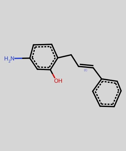 Nc1ccc(C/C=C/c2ccccc2)c(O)c1